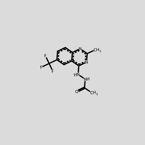 CC(=O)NNc1nc(C)nc2ccc(C(F)(F)F)cc12